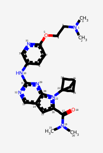 CN(C)CCOc1ccc(Nc2ncc3cc(C(=O)N(C)C)n(C45CC(C4)C5)c3n2)cn1